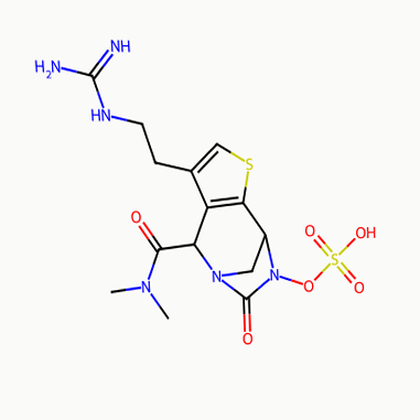 CN(C)C(=O)C1c2c(CCNC(=N)N)csc2C2CN1C(=O)N2OS(=O)(=O)O